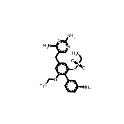 CCOc1cc(Cc2cnc(N)nc2N)cc(OS(=O)(=O)CC)c1-c1cccc(N)c1